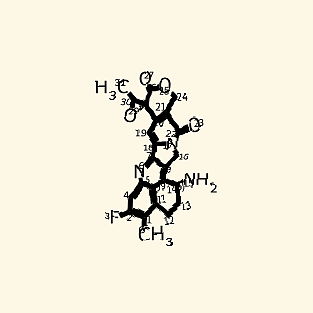 Cc1c(F)cc2nc3c(c4c2c1CC[C@@H]4N)Cn1c-3cc2c(c1=O)COC(=O)[C@@]21OC1C